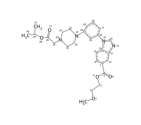 COCCOC(=O)c1ccc2c(c1)ncn2-c1cccc(N2CCN(CC(=O)OC(C)C)CC2)c1